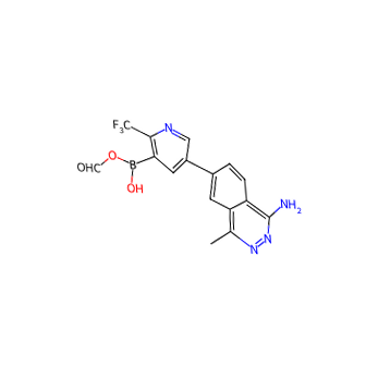 Cc1nnc(N)c2ccc(-c3cnc(C(F)(F)F)c(B(O)OC=O)c3)cc12